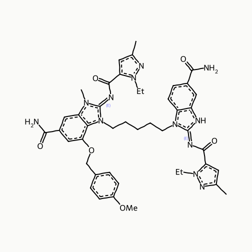 CCn1nc(C)cc1C(=O)/N=c1\[nH]c2cc(C(N)=O)ccc2n1CCCCCn1/c(=N/C(=O)c2cc(C)nn2CC)n(C)c2cc(C(N)=O)cc(OCc3ccc(OC)cc3)c21